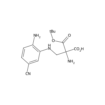 CC(C)(C)OC(=O)C(N)(CNc1cc(C#N)ccc1N)C(=O)O